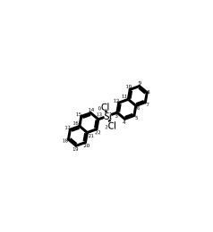 Cl[Si](Cl)(c1ccc2ccccc2c1)c1ccc2ccccc2c1